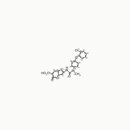 CN(C(=O)Nc1cc2oc(=O)c(C(=O)O)cc2s1)c1ccc(Oc2ccccc2Cl)cc1